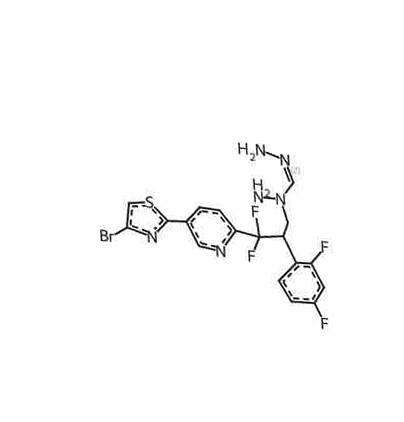 N/N=C\N(N)CC(c1ccc(F)cc1F)C(F)(F)c1ccc(-c2nc(Br)cs2)cn1